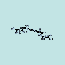 CCCC(CCC)CNC(=N)NC(=N)NCCCCCCNC(=N)NC(=N)NCC(CCC)CCC